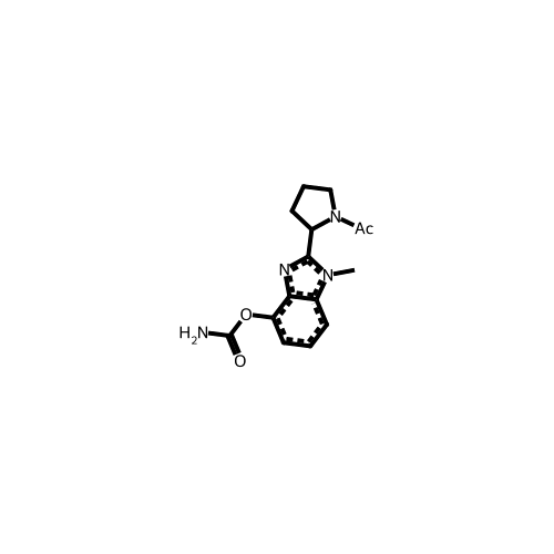 CC(=O)N1CCCC1c1nc2c(OC(N)=O)cccc2n1C